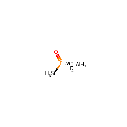 O=P[SiH3].[AlH3].[MgH2]